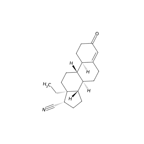 CC[C@]12CC[C@H]3[C@@H](CCC4=CC(=O)CC[C@@H]43)[C@@H]1CC[C@@H]2C#N